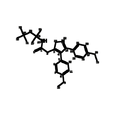 C=C(CC1=C(c2ccc(CC)cc2)C(c2ccc(CC)cc2)=NC1)NC(C)(C)CC(C)(C)C